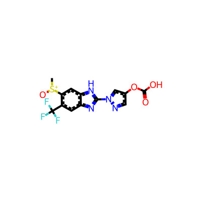 C[S+]([O-])c1cc2[nH]c(-n3cc(OC(=O)O)cn3)nc2cc1C(F)(F)F